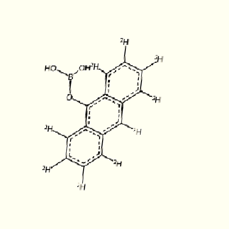 [2H]c1c([2H])c([2H])c2c(OB(O)O)c3c([2H])c([2H])c([2H])c([2H])c3c([2H])c2c1[2H]